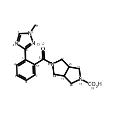 Cn1cnc(-c2ccccc2C(=O)N2CC3CN(C(=O)O)CC3C2)n1